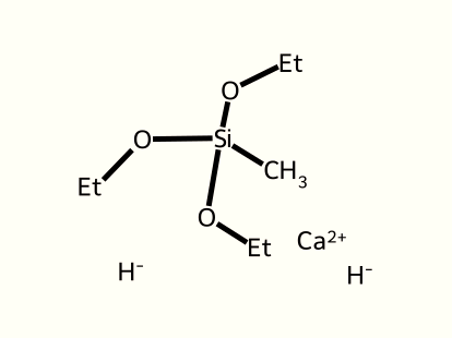 CCO[Si](C)(OCC)OCC.[Ca+2].[H-].[H-]